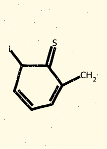 [CH2]C1=CC=CC(I)C1=S